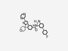 Nc1ccc(-c2ccc(F)cc2)cc1NC(=O)c1ccc(C2(c3nc(-c4cnccn4)cs3)CCOCC2)cc1